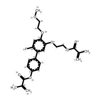 C=C(C)C(=O)OCCOc1cc(-c2ccc(OC(=O)C(=C)C)cc2)c(F)cc1OCCOC